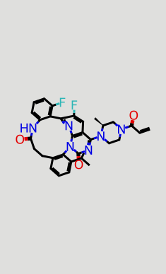 C=CC(=O)N1CCN(c2nc(=O)n3c4nc(c(F)cc24)-c2c(F)cccc2NC(=O)CCc2cccc(C(C)C)c2-3)[C@@H](C)C1